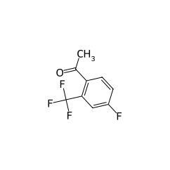 CC(=O)c1ccc(F)cc1C(F)(F)F